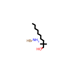 Br.CCCCCCCCC(C)(C)CO.N